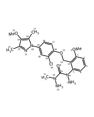 COc1cccc(N(N)C(=O)N(C)N)c1COc1ccc(-n2nc(C)c(OC)c2C)cc1Cl